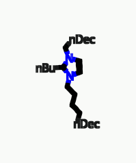 CCCCCCCCCCCCCCN1C=CN(CCCCCCCCCCC)C1CCCC